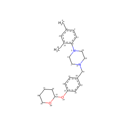 Cc1ccc(N2CCN(Cc3ccc(OC4CCCCO4)cc3)CC2)c(C)c1